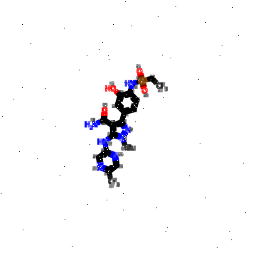 CC(C)(C)n1nc(-c2ccc(NS(=O)(=O)CC(F)(F)F)c(O)c2)c(C(N)=O)c1Nc1cnc(C(F)(F)F)cn1